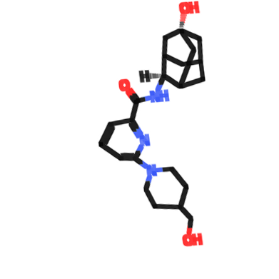 O=C(N[C@H]1C2CC3CC1C[C@](O)(C3)C2)c1cccc(N2CCC(CO)CC2)n1